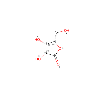 O=C1O[C@@H](CO)[C@@H](O)[C@H]1O